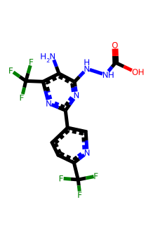 Nc1c(NNC(=O)O)nc(-c2ccc(C(F)(F)F)nc2)nc1C(F)(F)F